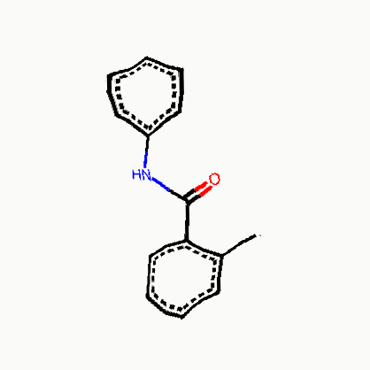 [CH2]c1ccccc1C(=O)Nc1ccccc1